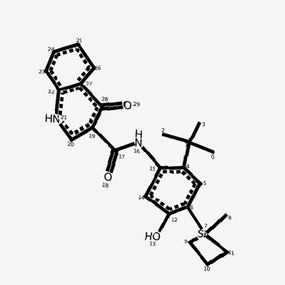 CC(C)(C)c1cc([Si]2(C)CCC2)c(O)cc1NC(=O)c1c[nH]c2ccccc2c1=O